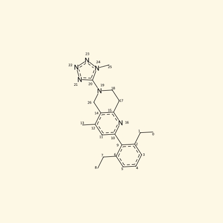 CCc1cccc(CC)c1-c1cc(C)c2c(n1)CCN(c1nnnn1C)C2